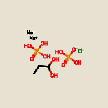 CCC(O)O.O=P(O)(O)O.O=P([O-])(O)O.[Cl-].[Na+].[Na+]